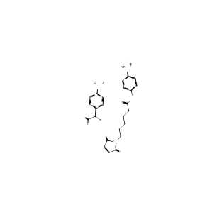 O=C(CCCCCN1C(=O)C=CC1=O)Oc1ccc([N+](=O)[O-])cc1.O=C(O)C(I)c1ccc([N+](=O)[O-])cc1